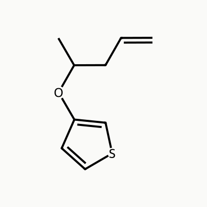 C=CCC(C)Oc1ccsc1